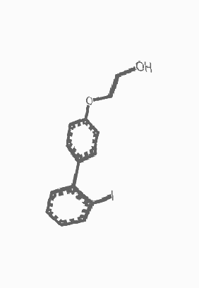 OCCOc1ccc(-c2ccccc2I)cc1